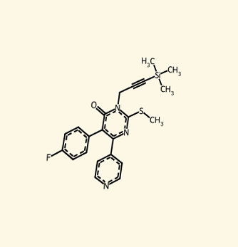 CSc1nc(-c2ccncc2)c(-c2ccc(F)cc2)c(=O)n1CC#C[Si](C)(C)C